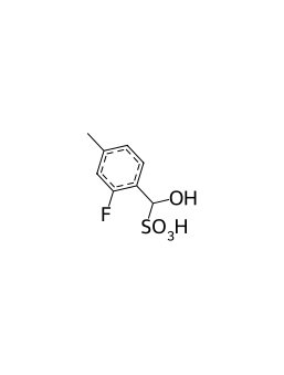 Cc1ccc(C(O)S(=O)(=O)O)c(F)c1